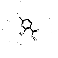 Cc1ccc(C(=O)N=O)c(N)n1